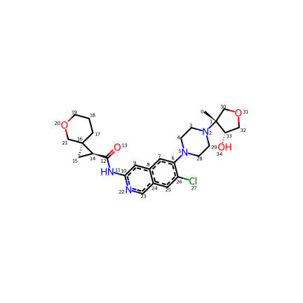 C[C@@]1(N2CCN(c3cc4cc(NC(=O)[C@H]5C[C@]56CCCOC6)ncc4cc3Cl)CC2)COC[C@@H]1O